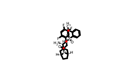 COc1ccccc1S(=O)(=O)NCC(=O)N1[C@@H]2CC[C@H]1CC([C@H](N)Cc1cc(F)c(F)cc1F)C2